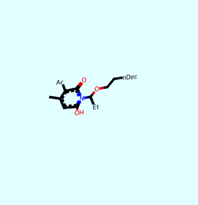 CCCCCCCCCCCCOC(CC)n1c(O)cc(C)c(C(C)=O)c1=O